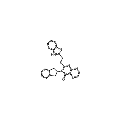 O=c1c2nccnc2nc(SCc2nc3ccccc3[nH]2)n1C1Cc2ccccc2C1